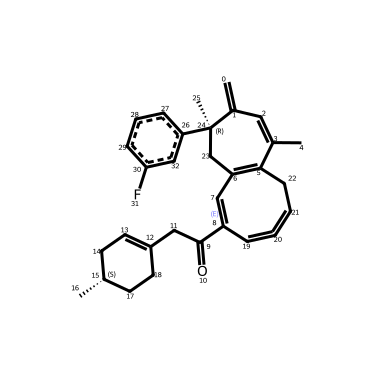 C=C1C=C(C)C2=C(/C=C(/C(=O)CC3=CC[C@@H](C)CC3)C=C=CC2)C[C@@]1(C)c1cccc(F)c1